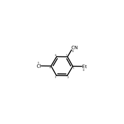 CCc1ccc(Cl)cc1C#N